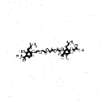 CCCc1c(OCCOCCOCCOCCOc2c(C(C)=O)ccc(OCC(=O)O)c2CCC)ccc(C(C)=O)c1O